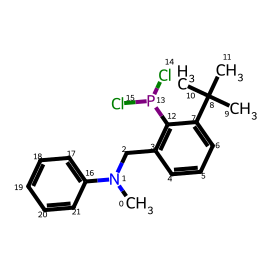 CN(Cc1cccc(C(C)(C)C)c1P(Cl)Cl)c1ccccc1